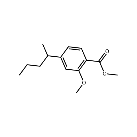 CCCC(C)c1ccc(C(=O)OC)c(OC)c1